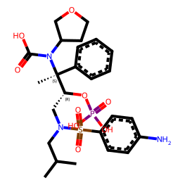 CC(C)CN(C[C@@H](OP(=O)(O)O)[C@](C)(c1ccccc1)N(C(=O)O)C1CCOC1)S(=O)(=O)c1ccc(N)cc1